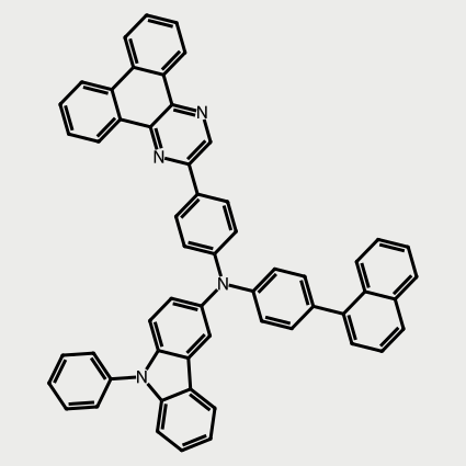 c1ccc(-n2c3ccccc3c3cc(N(c4ccc(-c5cnc6c7ccccc7c7ccccc7c6n5)cc4)c4ccc(-c5cccc6ccccc56)cc4)ccc32)cc1